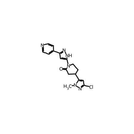 Cn1nc(Cl)cc1C1CCN(c2cc(-c3ccncc3)n[nH]2)C(=O)C1